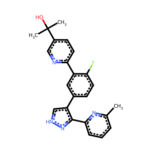 Cc1cccc(-c2n[nH]cc2-c2ccc(F)c(-c3ccc(C(C)(C)O)cn3)c2)n1